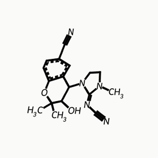 CN1CCN(C2c3cc(C#N)ccc3OC(C)(C)C2O)C1=NC#N